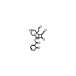 O=C=C1C(=O)NC1C1(CC=O)CNCCN1C(=O)OC(=O)C1=CC=CCC1=O